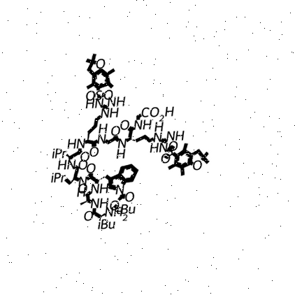 CC[C@H](C)[C@H](N)C(=O)N[C@@H](C)C(=O)N[C@@H](Cc1cn(C(=O)OC(C)(C)C)c2ccccc12)C(=O)N[C@@H](CC(C)C)C(=O)N[C@H](C(=O)N[C@@H](CCCNC(=N)NS(=O)(=O)c1c(C)c(C)c2c(c1C)CC(C)(C)O2)C(=O)NCC(=O)N[C@@H](CCCNC(=N)NS(=O)(=O)c1c(C)c(C)c2c(c1C)CC(C)(C)O2)C(=O)NCC(=O)O)C(C)C